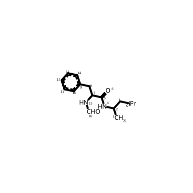 CC(C)CC(C)NC(=O)C(Cc1ccccc1)NC=O